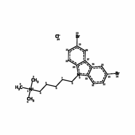 C[N+](C)(C)CCCCCn1c2ccc(Br)cc2c2cc(Br)ccc21.[Cl-]